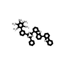 Bc1c(B)c(B)c(-c2cccc(-c3nc(-c4ccccc4)nc(-c4cccc5oc6c(-c7cccc8c7oc7ccccc78)cccc6c45)n3)c2)c(B)c1B